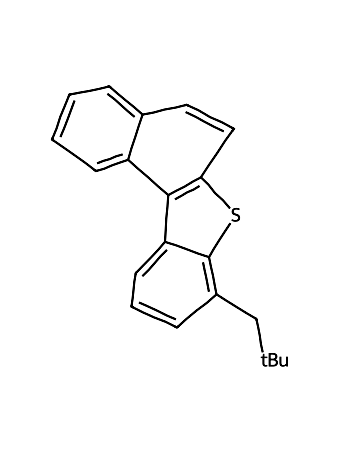 CC(C)(C)Cc1cccc2c1sc1ccc3ccccc3c12